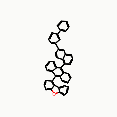 c1ccc(-c2cccc(-c3ccc4c(-c5c6ccccc6c(-c6cccc7oc8ccccc8c67)c6ccccc56)cccc4c3)c2)cc1